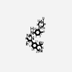 Cc1ccc(Nc2ncc(F)c(-c3ccc4c(c3)C(C)(C)CN=C4)n2)cc1N1CCN(C)CC1